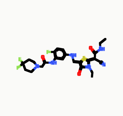 CCNC(=O)C(C#N)=c1sc(=CNc2ccc(F)c(NC(=O)CN3CCC(F)(F)CC3)c2)c(=O)n1CC